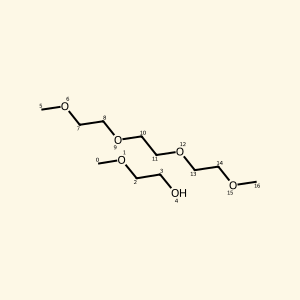 COCCO.COCCOCCOCCOC